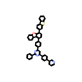 c1ccc(-c2nc(-c3ccc(-c4cccnc4)cc3)cc(-c3ccc(-c4ccc(-c5ccc6c(c5)sc5ccccc56)c5oc6ccccc6c45)cc3)n2)cc1